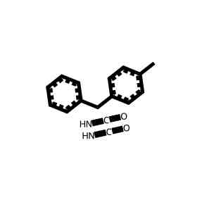 Cc1ccc(Cc2ccccc2)cc1.N=C=O.N=C=O